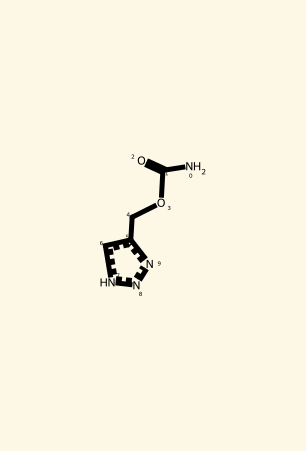 NC(=O)OCc1c[nH]nn1